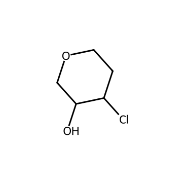 OC1COCCC1Cl